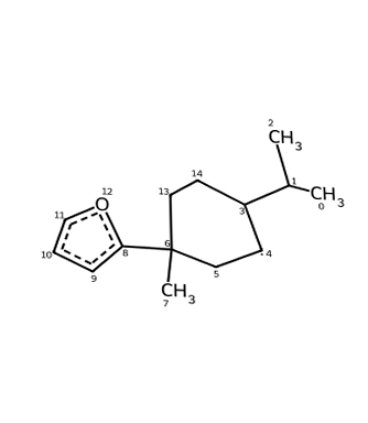 CC(C)C1[CH]CC(C)(c2ccco2)CC1